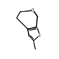 Cc1cc2c(s1)COCC2